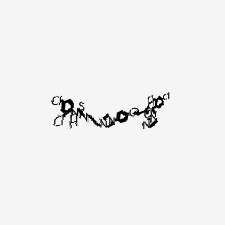 S=C(NCCN1CCN(c2ccc(OCC3COC(Cn4ccnc4)(c4ccc(Cl)cc4Cl)O3)cc2)CC1)Nc1ccc(Cl)cc1Cl